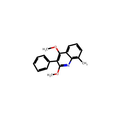 COc1nc2c(C)cccc2c(OC)c1-c1ccccc1